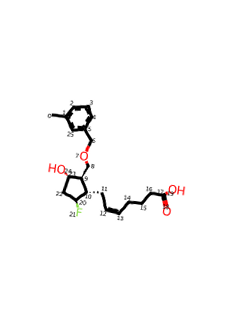 Cc1cccc(COC[C@H]2[C@H](C/C=C\CCCC(=O)O)[C@@H](F)C[C@@H]2O)c1